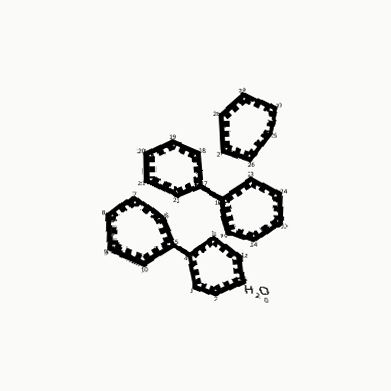 O.c1ccc(-c2ccccc2)cc1.c1ccc(-c2ccccc2)cc1.c1ccccc1